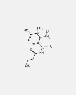 CCCC(=O)N[C@@H](C)C(=O)N([PH2]=O)[C@@H](C)C(=O)O